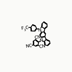 N#Cc1cc(C#N)c(-n2c3ccccc3c3cc4c5ccccc5n(-c5ccc(C(F)(F)F)cc5)c4cc32)c(C#N)c1